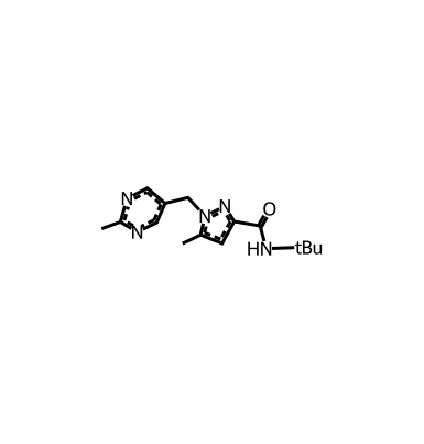 Cc1ncc(Cn2nc(C(=O)NC(C)(C)C)cc2C)cn1